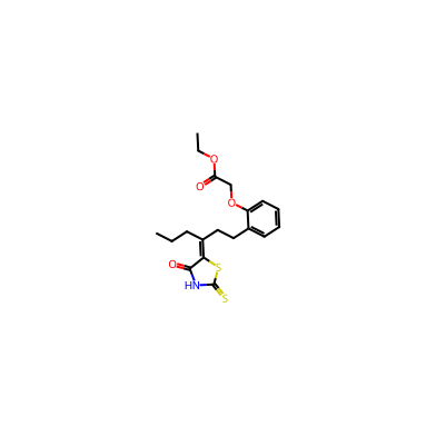 CCCC(CCc1ccccc1OCC(=O)OCC)=C1SC(=S)NC1=O